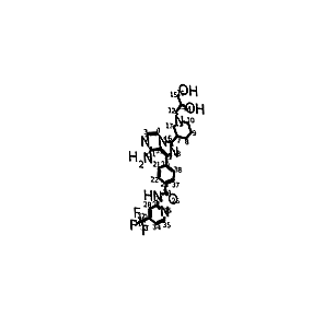 Nc1nccn2c(C3CCCN(CC(O)CO)C3)nc(-c3ccc(C(=O)Nc4cc(C(F)(F)F)ccn4)cc3)c12